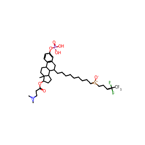 CN(C)CCC(=O)OC1CCC2C3C(CCCCCCCCC[S+]([O-])CCCC(F)(F)C(F)(F)F)Cc4cc(OP(=O)(O)O)ccc4C3CCC12C